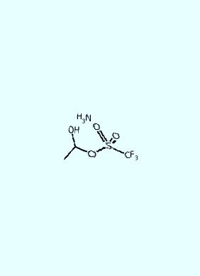 CC(O)OS(=O)(=O)C(F)(F)F.N